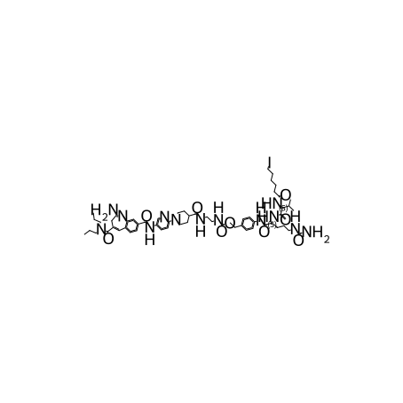 CCCN(CCC)C(=O)C1=Cc2ccc(C(=O)Nc3ccc(N4CCC(C(=O)NCCNC(=O)OCc5ccc(NC(=O)[C@H](CCCNC(N)=O)NC(=O)[C@@H](NC(=O)CCCCCI)C(C)C)cc5)CC4)nc3)cc2N=C(N)C1